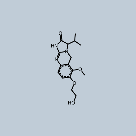 COc1c(OCCO)ccc2c1CN1C(=N2)NC(=O)C1C(C)C